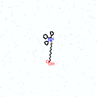 O=C(O)CCCCCCCCCCSc1nc(-c2ccccc2)c(-c2ccccc2)n1-c1ccccc1